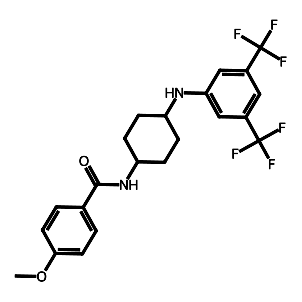 COc1ccc(C(=O)NC2CCC(Nc3cc(C(F)(F)F)cc(C(F)(F)F)c3)CC2)cc1